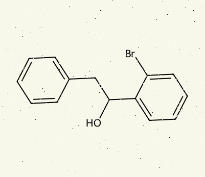 OC(Cc1ccccc1)c1ccccc1Br